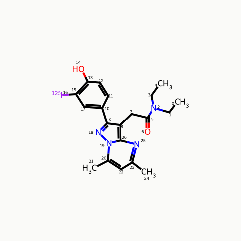 CCN(CC)C(=O)Cc1c(-c2ccc(O)c([125I])c2)nn2c(C)cc(C)nc12